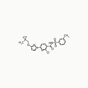 Cc1cccc(S(=O)(=O)NC(=O)c2ccc(-n3ccc(OCC4(C)CC4)n3)nc2Cl)c1